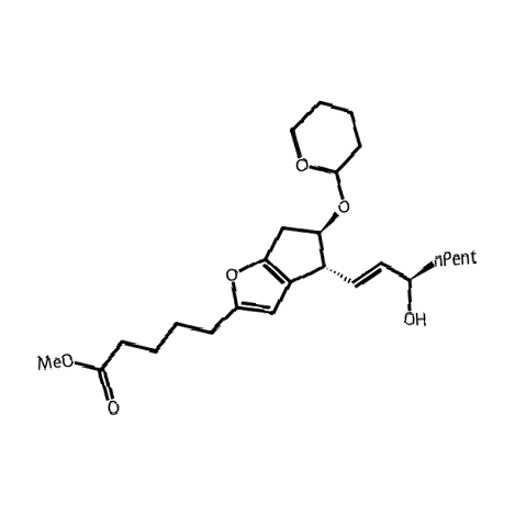 CCCCC[C@@H](O)/C=C/[C@@H]1c2cc(CCCCC(=O)OC)oc2C[C@H]1OC1CCCCO1